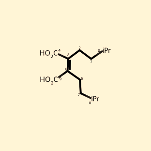 CC(C)CC/C(C(=O)O)=C(\CCC(C)C)C(=O)O